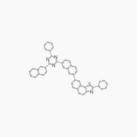 c1ccc(-c2nc(-c3ccc4ccccc4c3)nc(-c3ccc4ccc(-c5ccc6ccc7nc(-c8ccccc8)sc7c6c5)cc4c3)n2)cc1